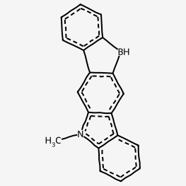 Cn1c2ccccc2c2cc3c(cc21)-c1ccccc1B3